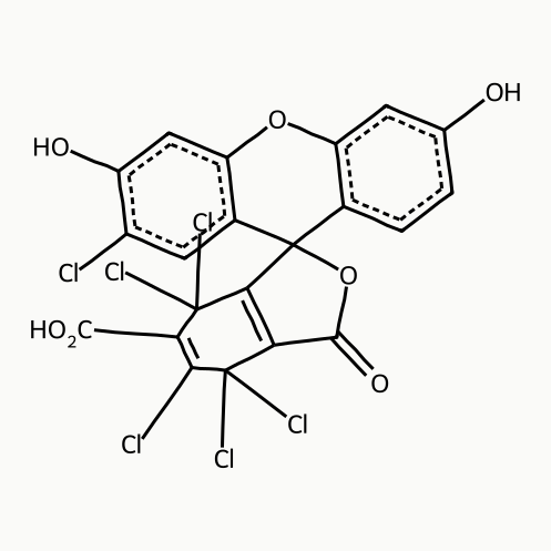 O=C(O)C1=C(Cl)C(Cl)(Cl)C2=C(C1(Cl)Cl)C1(OC2=O)c2ccc(O)cc2Oc2cc(O)c(Cl)cc21